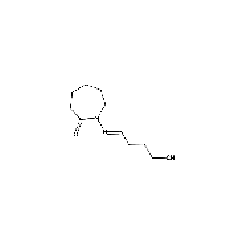 N#CCCCC=NN1CCCCCC1=O